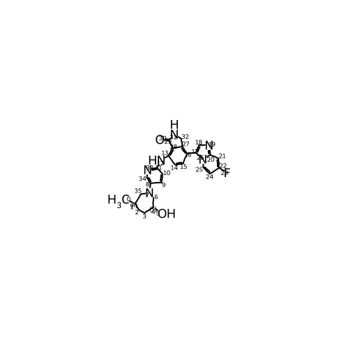 C[C@@H]1CC[C@H](O)CN(c2ccc(Nc3ccc(-c4cnc5cc(F)ccn45)c4c3C(=O)NC4)nc2)C1